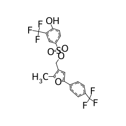 Cc1oc(-c2ccc(C(F)(F)F)cc2)cc1COS(=O)(=O)c1ccc(O)c(C(F)(F)F)c1